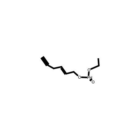 C#CCC=CCO[PH](=O)OCC